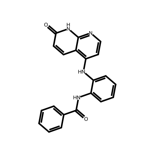 O=C(Nc1ccccc1Nc1ccnc2[nH]c(=O)ccc12)c1ccccc1